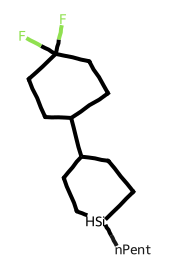 CCCCC[SiH]1CCC(C2CCC(F)(F)CC2)CC1